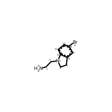 NCCN1CCc2cc(Br)ccc21